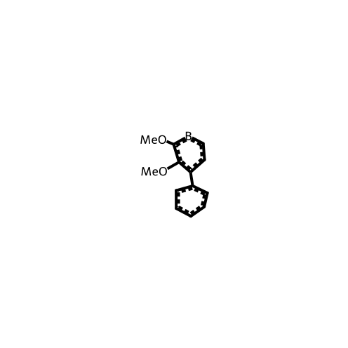 COc1bccc(-c2ccccc2)c1OC